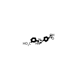 O=C(O)c1cccc(C2=NN(c3ccc([N+](=O)O)cc3)CN2)c1